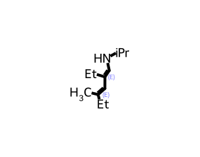 CC/C(C)=C/C(=C/NC(C)C)CC